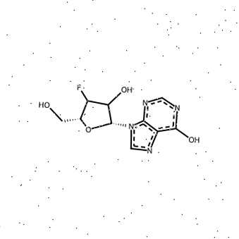 OC[C@H]1O[C@@H](n2cnc3c(O)ncnc32)C(O)C1F